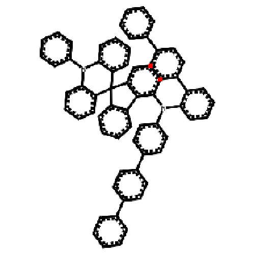 c1ccc(-c2ccc(-c3ccc(N(c4ccccc4-c4ccc(-c5ccccc5)cc4)c4cccc5c4-c4ccccc4C54c5ccccc5N(c5ccccc5)c5ccccc54)cc3)cc2)cc1